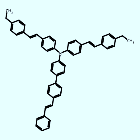 CCc1ccc(/C=C/c2ccc(N(c3ccc(/C=C/c4ccc(CC)cc4)cc3)c3ccc(-c4ccc(/C=C/c5ccccc5)cc4)cc3)cc2)cc1